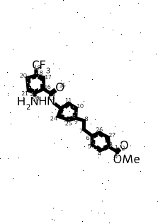 COC(=O)c1ccc(CCc2ccc(NC(=O)c3cc(C(F)(F)F)ccc3N)cc2)cc1